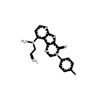 C=CCN(C)c1ccnc2sc3c(=O)n(-c4ccc(F)cc4)cnc3c12